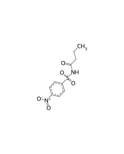 CCCC(=O)NS(=O)(=O)c1ccc([N+](=O)[O-])cc1